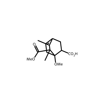 COC(=O)C1(C)C(C)C2=CCC1(OC)C(C(=O)O)C2